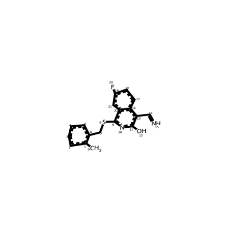 Cc1ccccc1CSc1nc(O)c(C=N)c2ccc(F)cc12